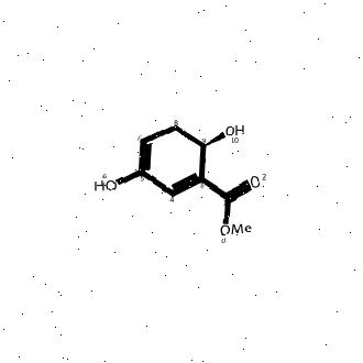 COC(=O)C1=CC(O)=CC[C@H]1O